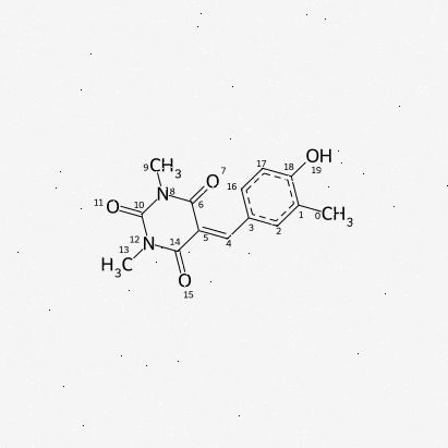 Cc1cc(C=C2C(=O)N(C)C(=O)N(C)C2=O)ccc1O